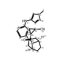 Cn1cc(Nc2nccc(N3C[C@H]4CC[C@@H](C3)N4C(=O)[C@H]3C[C@H]3C#N)n2)cn1